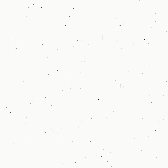 CCOC(=O)c1c(-c2ccc([N+](=O)[O-])cc2)nsc1C(F)(F)F